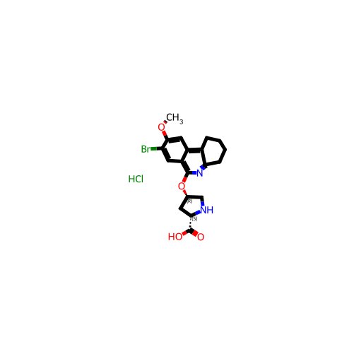 COc1cc2c3c(nc(O[C@H]4CN[C@H](C(=O)O)C4)c2cc1Br)CCCC3.Cl